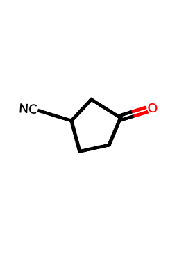 N#CC1CCC(=O)C1